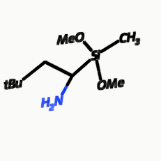 CO[Si](C)(OC)C(N)CC(C)(C)C